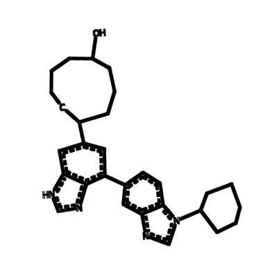 OC1CCCCC(c2cc(-c3ccc4c(c3)ncn4C3CCCCC3)c3nc[nH]c3c2)CCC1